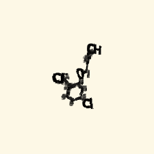 C#CCOc1[c]c(Cl)ccc1Cl